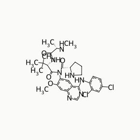 CN[C@@H](C)C(=O)N[C@H](C(=O)N(C(=O)[C@@H]1CCCN1)c1cc2c(Nc3ccc(Cl)cc3Cl)ncnc2cc1OC)C(C)(C)C